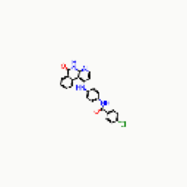 O=C(Nc1ccc(Nc2ccnc3[nH]c(=O)c4ccccc4c23)cc1)c1ccc(Cl)cc1